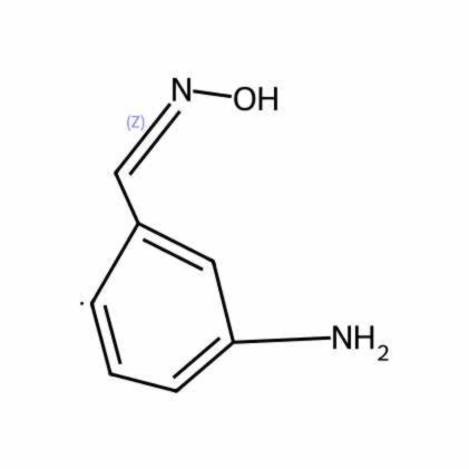 Nc1cc[c]c(/C=N\O)c1